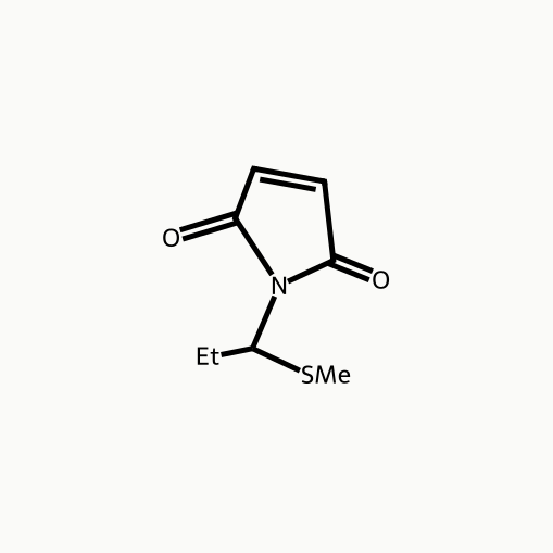 CCC(SC)N1C(=O)C=CC1=O